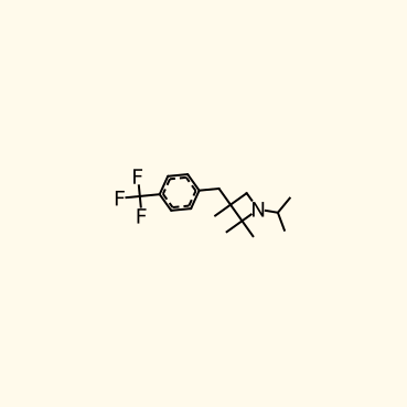 CC(C)N1CC(C)(Cc2ccc(C(F)(F)F)cc2)C1(C)C